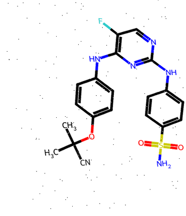 CC(C)(C#N)Oc1ccc(Nc2nc(Nc3ccc(S(N)(=O)=O)cc3)ncc2F)cc1